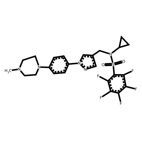 CN1CCN(c2ccc(-n3cc(CN(C4CC4)S(=O)(=O)c4c(F)c(F)c(F)c(F)c4F)cn3)cc2)CC1